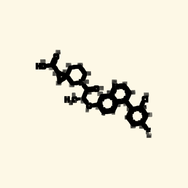 C[C@@H](Oc1ccc2c(-c3ccc(F)cc3Cl)ccnc2c1)C(=O)N1CCCC2(CC2C(=O)O)C1